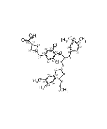 CCCCCC(CCC(Cc1ccc(C)c(C)c1)Oc1c(Cl)cc(CN2CC(C(=O)O)C2)cc1Cl)Cc1ccc(C)c(C)c1